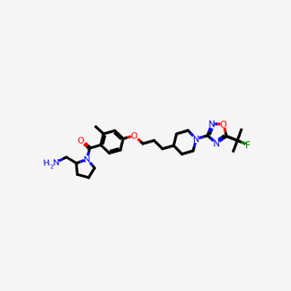 Cc1cc(OCCCC2CCN(c3noc(C(C)(C)F)n3)CC2)ccc1C(=O)N1CCCC1CN